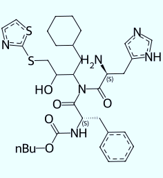 CCCCOC(=O)N[C@@H](Cc1ccccc1)C(=O)N(C(=O)[C@@H](N)Cc1cnc[nH]1)C(CC1CCCCC1)C(O)CSc1nccs1